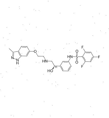 Cc1n[nH]c2cc(OCCNC[C@H](O)c3cccc(NS(=O)(=O)c4c(F)cc(F)cc4F)c3)ccc12